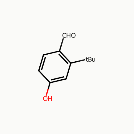 CC(C)(C)c1cc(O)ccc1C=O